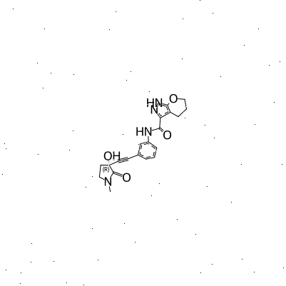 CN1CC[C@@](O)(C#Cc2cccc(NC(=O)c3n[nH]c4c3CCCO4)c2)C1=O